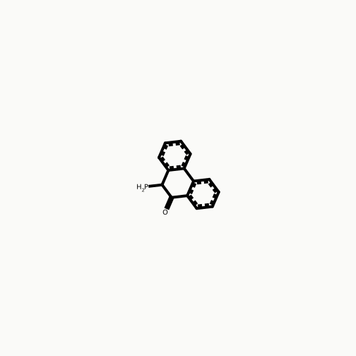 O=C1c2ccccc2-c2ccccc2C1P